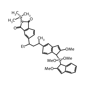 CCC(CC(C)c1ccc2c(c1)C=C(OC)C2[Si](OC)(OC)C1C(OC)=Cc2ccccc21)c1ccc2c(c1)C(=O)N([Si](C)(C)C)C2=O